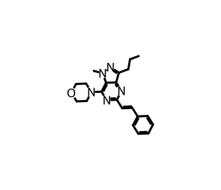 CCCc1nn(C)c2c(N3CCOCC3)nc(/C=C/c3ccccc3)nc12